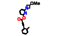 COC1CN(c2cccc(OC(=O)C#Cc3ccccc3C)n2)C1